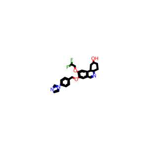 OC1CCC2N=Cc3cc(OCc4ccc(-n5ccnc5)cc4)c(OCC(F)F)cc3C2C1